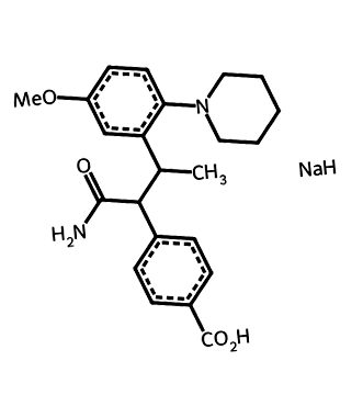 COc1ccc(N2CCCCC2)c(C(C)C(C(N)=O)c2ccc(C(=O)O)cc2)c1.[NaH]